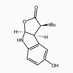 CCCC[C@@H]1C(=O)O[C@@H]2Nc3ccc(O)cc3[C@H]12